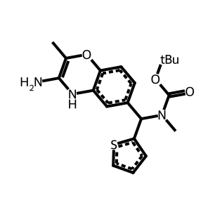 CC1=C(N)Nc2cc(C(c3cccs3)N(C)C(=O)OC(C)(C)C)ccc2O1